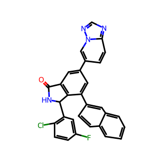 O=C1NC(c2cc(F)ccc2Cl)c2c1cc(-c1ccc3ncnn3c1)cc2-c1ccc2ccccc2c1